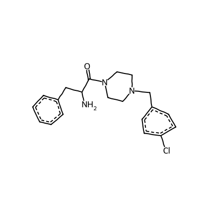 NC(Cc1ccccc1)C(=O)N1CCN(Cc2ccc(Cl)cc2)CC1